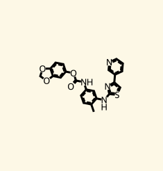 Cc1ccc(NC(=O)Oc2ccc3c(c2)OCO3)cc1Nc1nc(-c2cccnc2)cs1